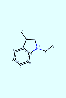 CCN1CC(C)c2ccccc21